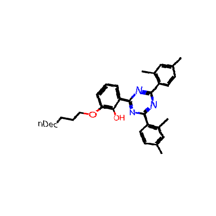 CCCCCCCCCCCCCOc1cccc(-c2nc(-c3ccc(C)cc3C)nc(-c3ccc(C)cc3C)n2)c1O